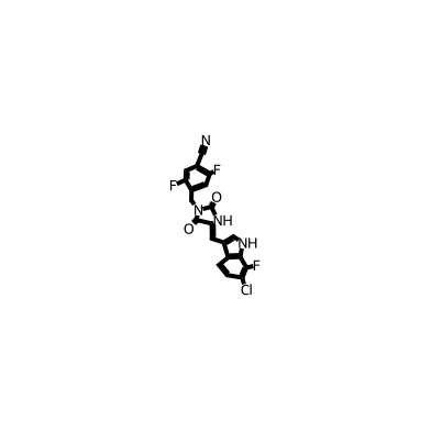 N#Cc1cc(F)c(CN2C(=O)NC(=Cc3c[nH]c4c(F)c(Cl)ccc34)C2=O)cc1F